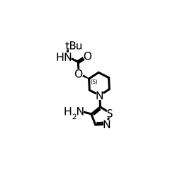 CC(C)(C)NC(=O)O[C@H]1CCCN(c2sncc2N)C1